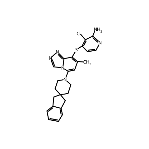 Cc1cc(N2CCC3(CC2)Cc2ccccc2C3)n2cnnc2c1Sc1ccnc(N)c1Cl